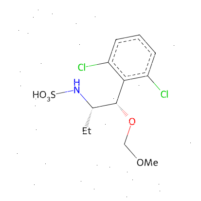 CC[C@H](NS(=O)(=O)O)[C@@H](OCOC)c1c(Cl)cccc1Cl